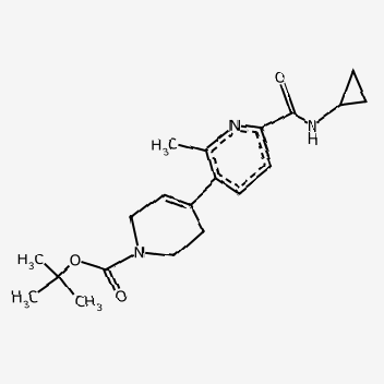 Cc1nc(C(=O)NC2CC2)ccc1C1=CCN(C(=O)OC(C)(C)C)CC1